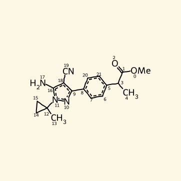 COC(=O)C(C)c1ccc(-c2nn(C3(C)CC3)c(N)c2C#N)cc1